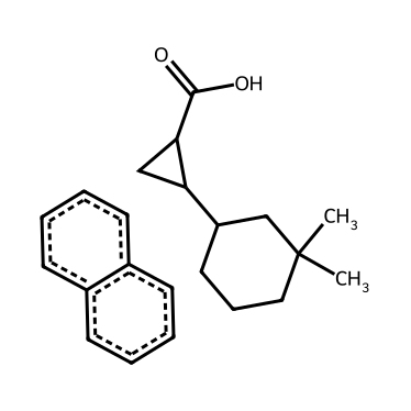 CC1(C)CCCC(C2CC2C(=O)O)C1.c1ccc2ccccc2c1